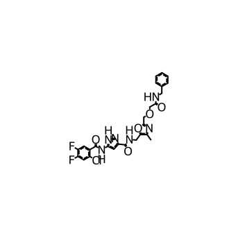 Cc1nc(COCC(=O)NCc2ccccc2)oc1CNC(=O)c1cc(NC(=O)c2cc(F)c(F)cc2Cl)[nH]n1